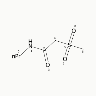 CCCNC(=O)CS(C)(=O)=O